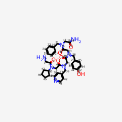 NCC(=O)N(CC(=O)N(CC(=O)N(CC(=O)N(CC(N)=O)Cc1ccccc1)Cc1ccc(O)cc1)Cc1ccncc1)C1CCCC1